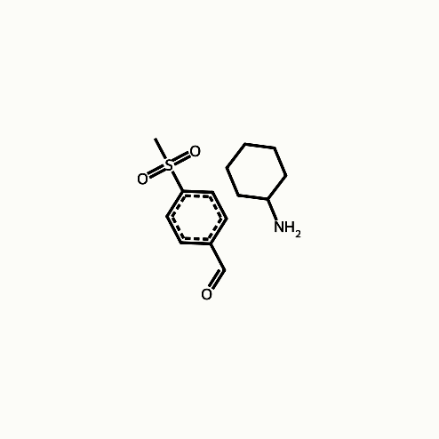 CS(=O)(=O)c1ccc(C=O)cc1.NC1CCCCC1